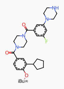 CC[C@@H](C)Oc1ccc(C(=O)N2CCN(C(=O)c3cc(F)cc(N4CCNCC4)c3)CC2)cc1C1CCCC1